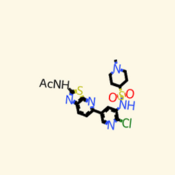 CC(=O)Nc1nc2ccc(-c3cnc(Cl)c(NS(=O)(=O)C4CCN(C)CC4)c3)nc2s1